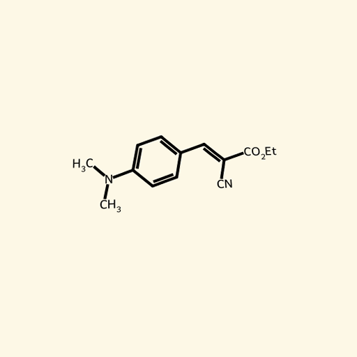 CCOC(=O)C(C#N)=Cc1ccc(N(C)C)cc1